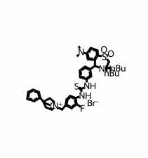 CCCCC1(CCCC)CS(=O)(=O)c2ccc(N(C)C)cc2C(c2cccc(NC(=S)Nc3ccc(C[N+]45CCC(c6ccccc6)(CC4)CC5)cc3F)c2)N1.[Br-]